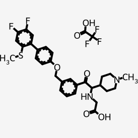 CSc1cc(F)c(F)cc1-c1ccc(OCc2cccc(C(=O)C(NCC(=O)O)C3CCN(C)CC3)c2)cc1.O=C(O)C(F)(F)F